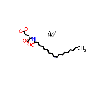 CCCCCCCC/C=C\CCCCCCCC(=O)N[C@@H](CCC(=O)[O-])C(=O)[O-].[Na+].[Na+]